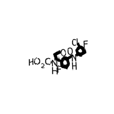 O=C(O)N[C@H]1CCOc2c(C(=O)Nc3ccc(F)c(Cl)c3)ccc(F)c21